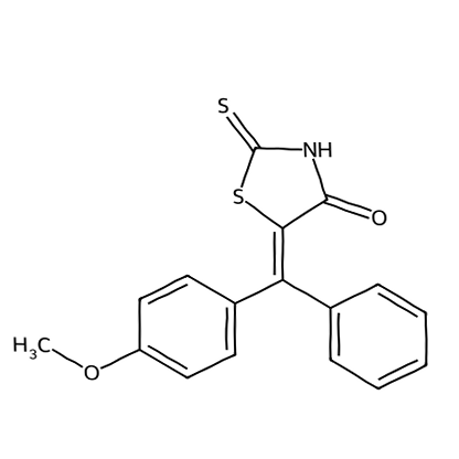 COc1ccc(C(=C2SC(=S)NC2=O)c2ccccc2)cc1